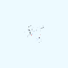 CC(C)=C1CCC(C2c3ccccc3C3(CCNCC3)C(=O)N2CCN2CCCCC2=O)CC1